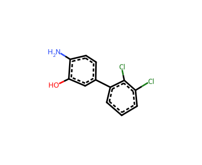 Nc1ccc(-c2cccc(Cl)c2Cl)cc1O